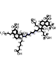 COCCc1cc(S(=O)(=O)O)cc2c3c(ccc12)N(CCCCCC(=O)O)/C(=C/C=C/C=C/C=C/C1=[N+](CCOC)c2ccc4c(S(=O)(=O)O)cc(S(=O)(=O)O)cc4c2C1(C)CCCS(=O)(=O)O)C3(C)C